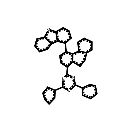 c1ccc(-c2nc(-c3ccccc3)nc(-c3ccc(-c4cccc5oc6ccccc6c45)c4c3ccc3ccccc34)n2)cc1